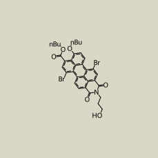 CCCCOC(=O)c1cc(Br)c2c3ccc4c5c(cc(Br)c(c6ccc(OCCCC)c1c62)c53)C(=O)N(CCCO)C4=O